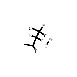 CCC.FC(F)C(F)(F)C(F)(Cl)Cl